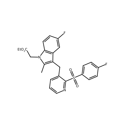 CCOC(=O)Cn1c(C)c(Cc2cccnc2S(=O)(=O)c2ccc(F)cc2)c2cc(F)ccc21